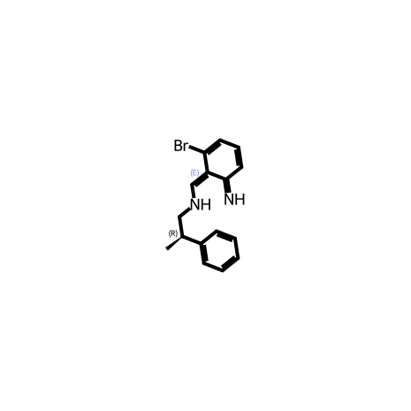 C[C@@H](CN/C=C1\C(=N)C=CC=C1Br)c1ccccc1